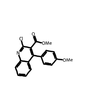 COC(=O)c1c(Cl)nc2ccccc2c1-c1ccc(OC)cc1